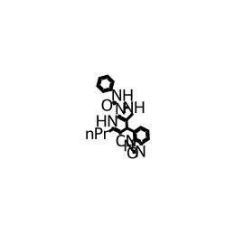 CCCC1=C(C#N)C(c2cccc3nonc23)C2=C(N1)N(C(=O)Nc1ccccc1)NC2